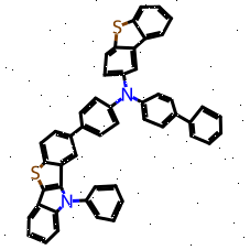 c1ccc(-c2ccc(N(c3ccc(-c4ccc5sc6c7ccccc7n(-c7ccccc7)c6c5c4)cc3)c3ccc4sc5ccccc5c4c3)cc2)cc1